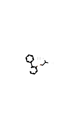 CC(C)CSc1cccbc1-c1ccccc1